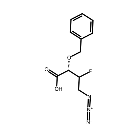 [N-]=[N+]=NCC(F)[C@@H](OCc1ccccc1)C(=O)O